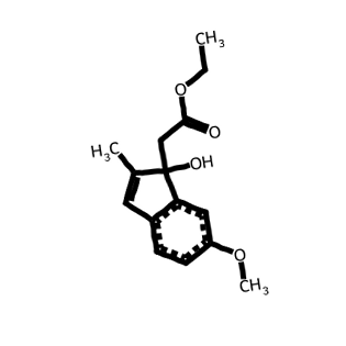 CCOC(=O)CC1(O)C(C)=Cc2ccc(OC)cc21